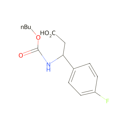 CCCCOC(=O)NC(CC(=O)O)c1ccc(F)cc1